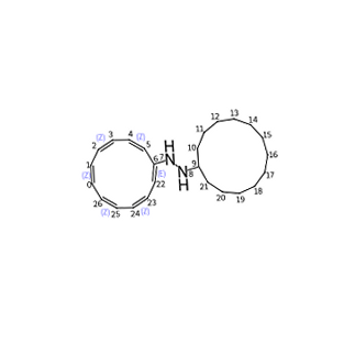 C1=C\C=C/C=C\C(NNC2CCCCCCCCCCCC2)=C/C=C\C=C/1